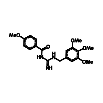 COc1ccc(C(=O)NC(=N)NCc2cc(OC)c(OC)c(OC)c2)cc1